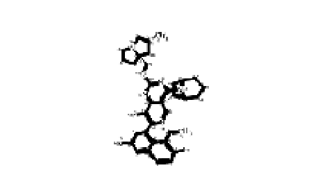 CCc1c(F)ccc2cc(O)cc(-c3ncc4c(N5C6CCCC5CC6)nc(OC[C@@]56CCCN5C[C@H](C)C6)nc4c3F)c12